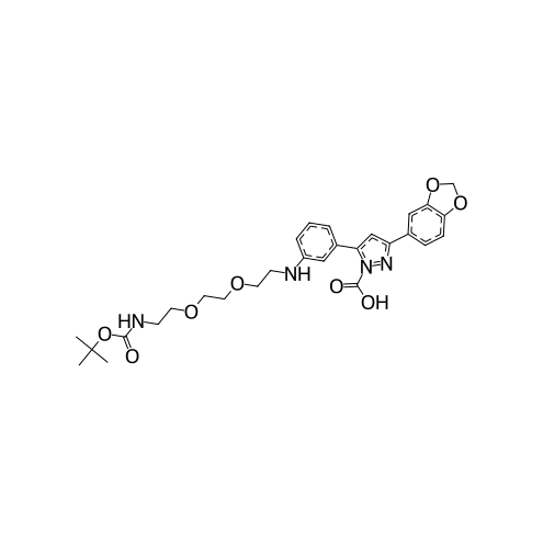 CC(C)(C)OC(=O)NCCOCCOCCNc1cccc(-c2cc(-c3ccc4c(c3)OCO4)nn2C(=O)O)c1